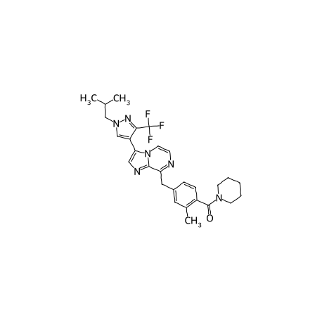 Cc1cc(Cc2nccn3c(-c4cn(CC(C)C)nc4C(F)(F)F)cnc23)ccc1C(=O)N1CCCCC1